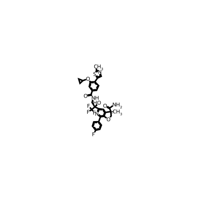 Cc1ncc(-c2ccc(C(=O)NCC(O)(c3cc4c(c(-c5ccc(F)cc5)n3)OC[C@]4(C)C(N)=O)C(F)(F)F)cc2OC2CC2)s1